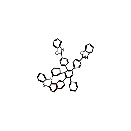 c1ccc(-c2cc(-c3ccc(-c4nc5ccccc5o4)cc3)c(-c3ccc(-c4nc5ccccc5o4)cc3)c(-c3cccc(N4c5ccccc5Sc5ccccc54)c3)c2-c2ccccc2)cc1